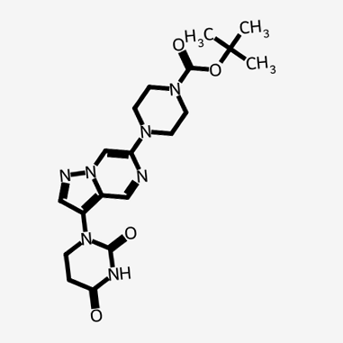 CC(C)(C)OC(=O)N1CCN(c2cn3ncc(N4CCC(=O)NC4=O)c3cn2)CC1